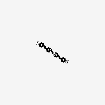 CN(C)c1ccc(/C=C/c2cc[n+](CC[n+]3ccc(/C=C/c4ccc(N(C)C)cc4)cc3)cc2)cc1